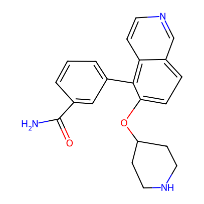 NC(=O)c1cccc(-c2c(OC3CCNCC3)ccc3cnccc23)c1